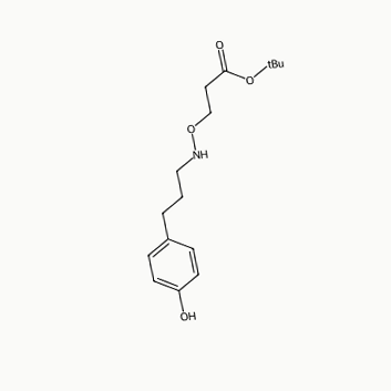 CC(C)(C)OC(=O)CCONCCCc1ccc(O)cc1